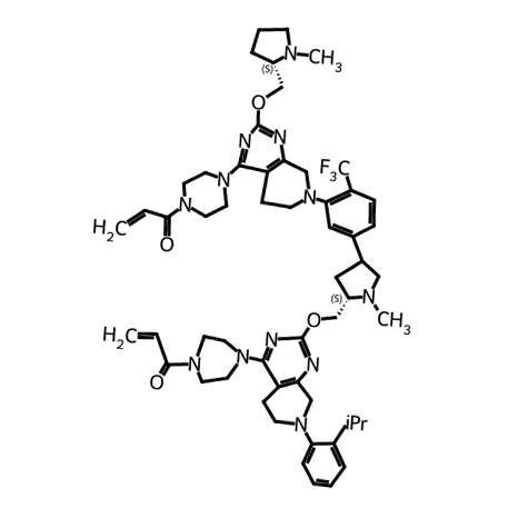 C=CC(=O)N1CCN(c2nc(OC[C@@H]3CC(c4ccc(C(F)(F)F)c(N5CCc6c(nc(OC[C@@H]7CCCN7C)nc6N6CCN(C(=O)C=C)CC6)C5)c4)CN3C)nc3c2CCN(c2ccccc2C(C)C)C3)CC1